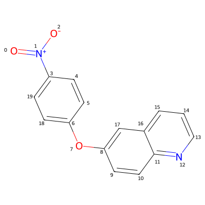 O=[N+]([O-])c1ccc(Oc2ccc3ncccc3c2)cc1